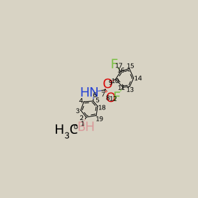 CBc1ccc(NC(=O)Oc2c(F)cccc2F)cc1